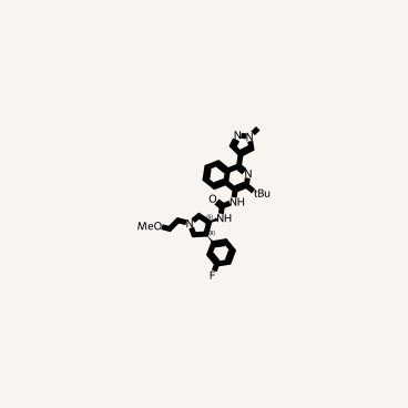 COCCN1C[C@@H](NC(=O)Nc2c(C(C)(C)C)nc(-c3cnn(C)c3)c3ccccc23)[C@H](c2cccc(F)c2)C1